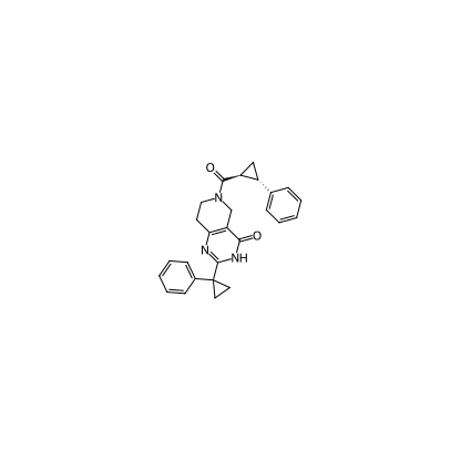 O=C([C@H]1C[C@@H]1c1ccccc1)N1CCc2nc(C3(c4ccccc4)CC3)[nH]c(=O)c2C1